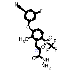 Cc1c(Oc2cc(F)cc(C#N)c2)ccc(S(=O)(=O)C(F)(F)F)c1/C=C/C(=O)NN